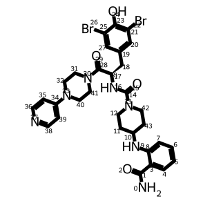 NC(=O)c1ccccc1NC1CCN(C(=O)N[C@H](Cc2cc(Br)c(O)c(Br)c2)C(=O)N2CCN(c3ccncc3)CC2)CC1